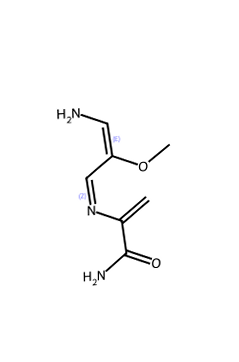 C=C(/N=C\C(=C/N)OC)C(N)=O